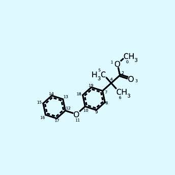 COC(=O)C(C)(C)c1ccc(Oc2ccccc2)cc1